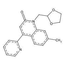 Cc1ccc2c(-c3ccccn3)cc(=O)n(CC3OCCO3)c2c1